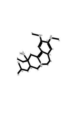 CCC1(O)CC2=C3C=C(OC)C(OC)=CC3CCN2CC1CC(C)C